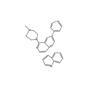 CN1CCN(c2nccc3ccc(-c4ccccc4)cc23)CC1.c1ccc2ncccc2c1